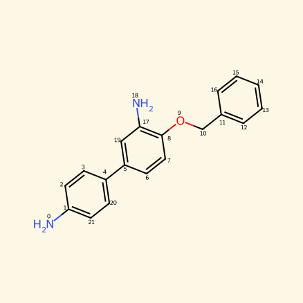 Nc1ccc(-c2ccc(OCc3ccccc3)c(N)c2)cc1